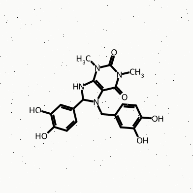 Cn1c2c(c(=O)n(C)c1=O)N(Cc1ccc(O)c(O)c1)C(c1ccc(O)c(O)c1)N2